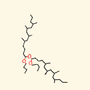 CCCCOC(CCCC(C)CC(C)CC(C)CC(C)CCC)OC(CCCC(C)CC(C)CC(C)CC(C)CCC)OCCCC